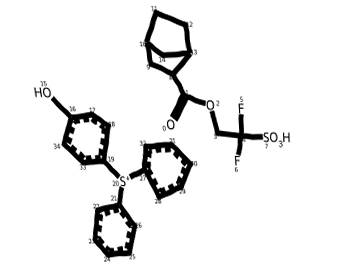 O=C(OCC(F)(F)S(=O)(=O)O)C1CC2CCC1C2.Oc1ccc([S+](c2ccccc2)c2ccccc2)cc1